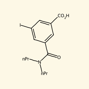 CCCN(CCC)C(=O)c1cc(I)cc(C(=O)O)c1